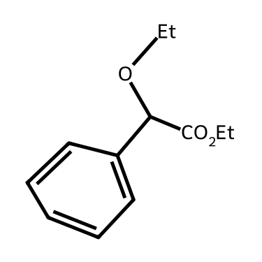 CCOC(=O)C(OCC)c1ccccc1